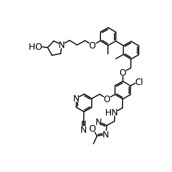 Cc1nc(CNCc2cc(Cl)c(OCc3cccc(-c4cccc(OCCCN5CCC(O)C5)c4C)c3C)cc2OCc2cncc(C#N)c2)no1